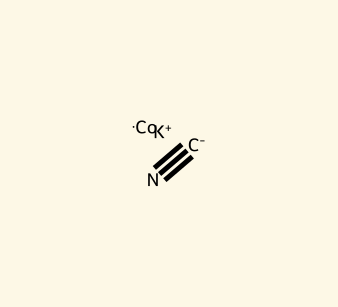 [C-]#N.[Co].[K+]